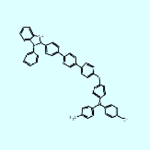 Cc1ccc(N(c2ccc(C)cc2)c2ccc(Oc3ccc(-c4ccc(-c5ccc(C6Nc7ccccc7N6c6ccccc6)cc5)cc4)cc3)cc2)cc1